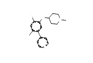 Cc1cc(N)c(OC2CCN(C)CC2)cc1-c1ccncc1